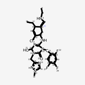 CCN/C=C1/CC(NC2=NC(O)N(Cc3ncn(C)n3)C(=O)N2Cc2cc(F)c(F)cc2F)C(Cl)=CC1CC